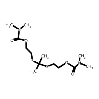 CN(C)C(=O)OCCSC(C)(C)SCCOC(=O)N(C)C